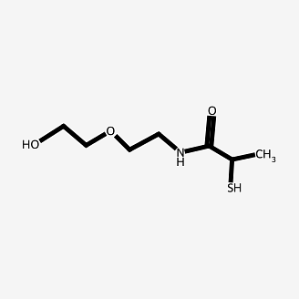 CC(S)C(=O)NCCOCCO